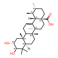 C[C@H]1[C@H](C)CC[C@]2(C(=O)O)CC[C@]3(C)C(=CCC4[C@@]5(C)C[C@@H](O)[C@H](O)C(C)(C)[C@@H]5CC[C@]43C)[C@H]12